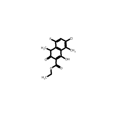 CCOC(=O)C1=C(O)c2c(C)c(Cl)cc(F)c2C(C)C1=O